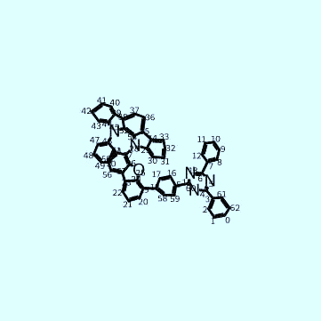 c1ccc(-c2nc(-c3ccccc3)nc(-c3ccc(-c4cccc5c4oc4c(-n6c7ccccc7c7ccc8c9ccccc9n(-c9ccccc9)c8c76)cccc45)cc3)n2)cc1